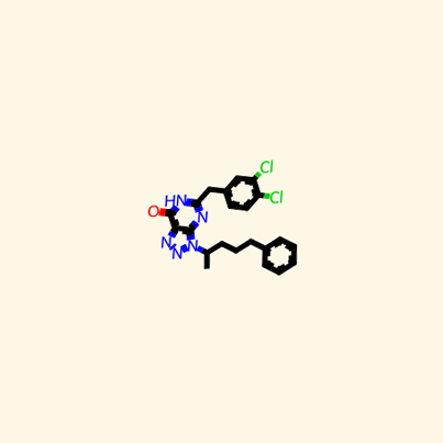 CC(CCCc1ccccc1)n1nnc2c(=O)[nH]c(Cc3ccc(Cl)c(Cl)c3)nc21